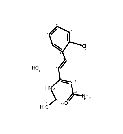 CCNC(C=Cc1ccccc1Cl)=NC(N)=O.Cl